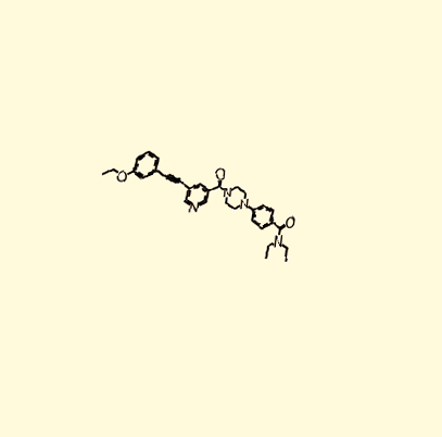 CCOc1cccc(C#Cc2cncc(C(=O)N3CCN(c4ccc(C(=O)N(CC)CC)cc4)CC3)c2)c1